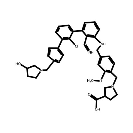 COc1cc(CNc2cccc(-c3cccc(-c4ccc(CN5CCC(O)C5)cc4)c3Cl)c2C=N)ccc1CN1CCC(C(=O)O)C1